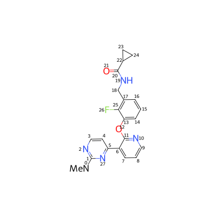 CNc1nccc(-c2cccnc2Oc2cccc(CNC(=O)C3CC3)c2F)n1